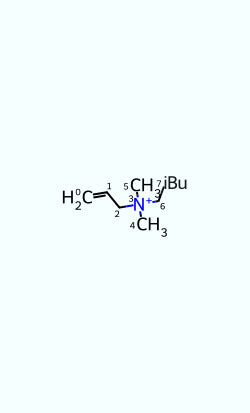 C=CC[N+](C)(C)CC(C)CC